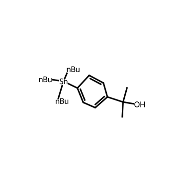 CCC[CH2][Sn]([CH2]CCC)([CH2]CCC)[c]1ccc(C(C)(C)O)cc1